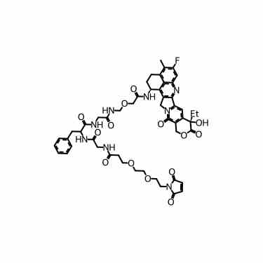 CC[C@@]1(O)C(=O)OCc2c1cc1n(c2=O)Cc2c-1nc1cc(F)c(C)c3c1c2[C@@H](NC(=O)COCNC(=O)CNC(=O)C(Cc1ccccc1)NC(=O)CNC(=O)CCOCCOCCN1C(=O)C=CC1=O)CC3